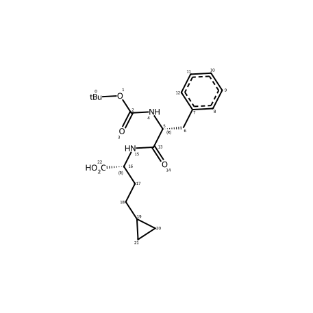 CC(C)(C)OC(=O)N[C@H](Cc1ccccc1)C(=O)N[C@H](CCC1CC1)C(=O)O